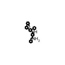 N[C@H](Cc1ccccc1)c1ccc(NC2=C(C3=CCCCC3)CC(c3cccc4c3sc3ccccc34)C=C2)cc1